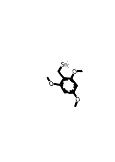 COc1cc(OC)c([CH2][Sn])c(OC)c1